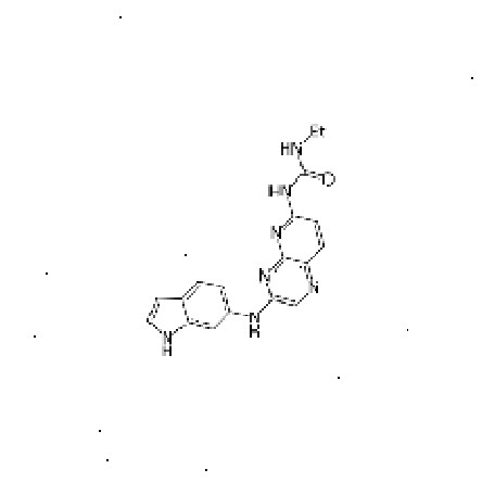 CCNC(=O)Nc1ccc2ncc(Nc3ccc4cc[nH]c4c3)nc2n1